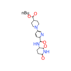 CCCCOC(=O)C1CCN(c2ccc(C(=O)NC3CCC(=O)NC3=O)nc2)CC1